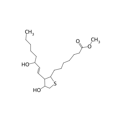 CCCCCC(O)/C=C/C1C(O)CSC1CCCCCCC(=O)OC